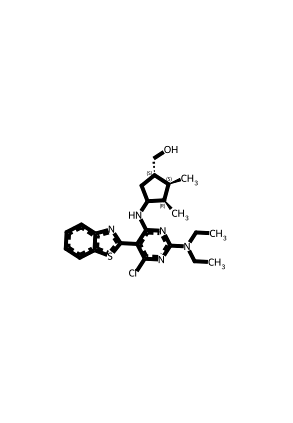 CCN(CC)c1nc(Cl)c(-c2nc3ccccc3s2)c(NC2C[C@H](CO)[C@@H](C)[C@H]2C)n1